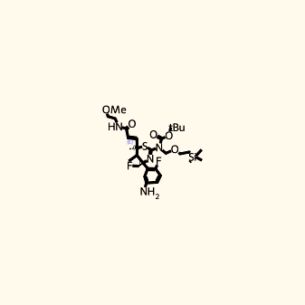 COCCNC(=O)/C=C/[C@@]1(C)SC(N(COCC[Si](C)(C)C)C(=O)OC(C)(C)C)=N[C@](CF)(c2cc(N)ccc2F)C1C